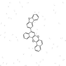 c1ccc2c3c(ccc2c1)Oc1cc(-c2ccc4sc5ccccc5c4c2)c2ccccc2c1O3